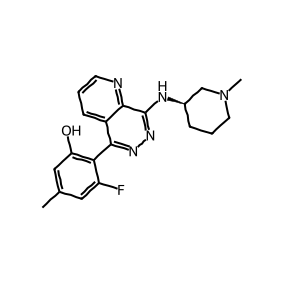 Cc1cc(O)c(-c2nnc(N[C@@H]3CCCN(C)C3)c3ncccc23)c(F)c1